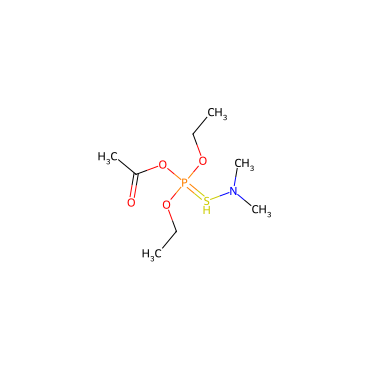 CCOP(OCC)(OC(C)=O)=[SH]N(C)C